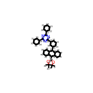 CC1(C)OB(c2c3ccccc3c(-c3cccc(-c4nc(-c5ccccc5)nc(-c5ccccc5)n4)c3)c3ccccc23)OC1(C)C